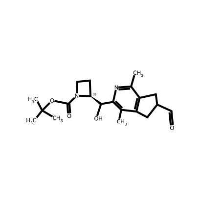 Cc1nc(C(O)[C@@H]2CCN2C(=O)OC(C)(C)C)c(C)c2c1CC(C=O)C2